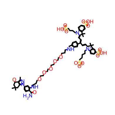 Cc1nn(-c2ccc(C(N)=O)c(NCCCOCCOCCOCCOCCOCCCNCc3ccc(C(=C\C=C4\N(CCCCS(=O)(=O)O)c5ccc(S(=O)(=O)O)cc5C4(C)C)/C=C/C4=[N+](CCCCCS(=O)(=O)[O-])c5ccc(S(=O)(=O)O)cc5C4(C)C)cc3)c2)c2c1C(=O)CC(C)(C)C2